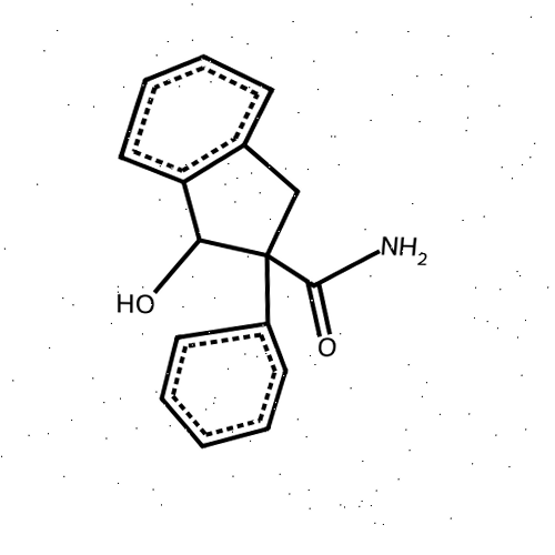 NC(=O)C1(c2ccccc2)Cc2ccccc2C1O